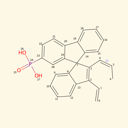 C=CC1=C(/C=C\C)C2(c3ccccc31)c1ccccc1-c1ccc(P(=O)(O)O)cc12